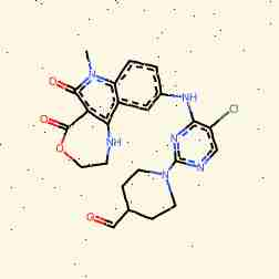 Cn1c(=O)c2c(c3cc(Nc4nc(N5CCC(C=O)CC5)ncc4Cl)ccc31)NCCOC2=O